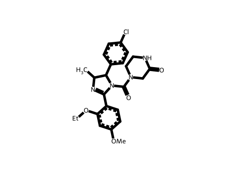 CCOc1cc(OC)ccc1C1=NC(C)C(c2ccc(Cl)cc2)N1C(=O)N1CCNC(=O)C1